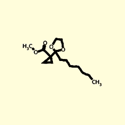 CCCCCCCC1(C2(C(=O)OC)CC2)OCCO1